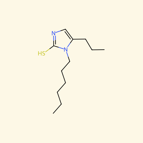 CCCCCCn1c(CCC)cnc1S